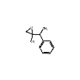 CC(c1ccccc1)C1(C)CO1